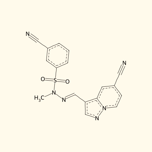 CN(N=Cc1cnn2ccc(C#N)cc12)S(=O)(=O)c1cccc(C#N)c1